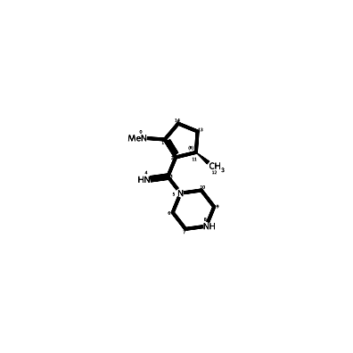 CNC1=C(C(=N)N2CCNCC2)[C@H](C)CC1